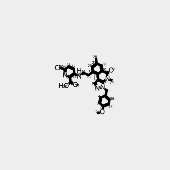 COc1ccc(Cn2ncc3c4c(CCNc5ccc(Cl)nc5C(=O)O)cc(C)cc4c(=O)n(C)c32)cc1